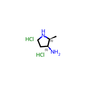 C[C@@H]1NCC[C@@H]1N.Cl.Cl